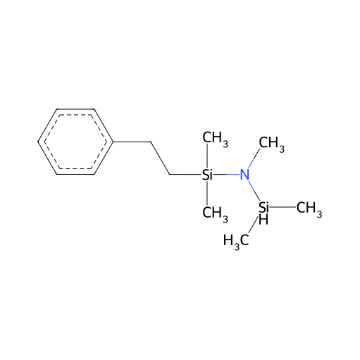 CN([SiH](C)C)[Si](C)(C)CCc1ccccc1